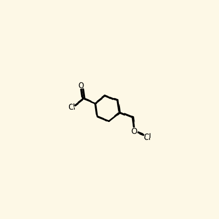 O=C(Cl)C1CCC(COCl)CC1